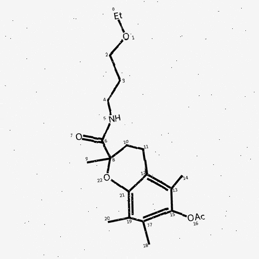 CCOCCCNC(=O)C1(C)CCc2c(C)c(OC(C)=O)c(C)c(C)c2O1